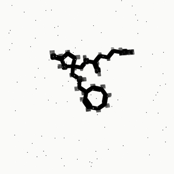 CCCCCCCCCCCCCC(=O)OCC1(COCC2C#CC/C=C\C=C/2)CCC(=O)O1